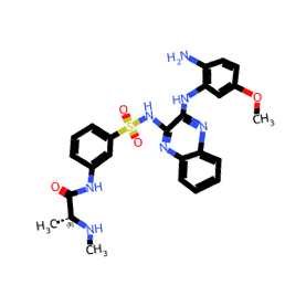 CN[C@H](C)C(=O)Nc1cccc(S(=O)(=O)Nc2nc3ccccc3nc2Nc2cc(OC)ccc2N)c1